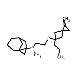 C=C1CC12CC(CCC)(PCC[P@](C)C13CC4CCCC1(C4)C3)C2